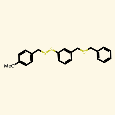 COc1ccc(CSSc2cccc(CSCc3ccccc3)c2)cc1